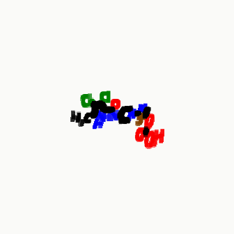 Cc1[nH]c(C(=O)NC2CCN(c3ncc(OC(=O)O)s3)CC2)c(Cl)c1Cl